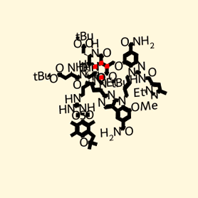 CCn1nc(C)cc1C(=O)Nc1nc2cc(C(N)=O)cc(OCCCNC(=O)[C@H](CC(=O)OC(C)(C)C)NC(=O)[C@H](CC(=O)OC(C)(C)C)NC(=O)[C@H](CCCNC(=N)NS(=O)(=O)c3c(C)c(C)c4c(c3C)CC(C)(C)O4)NC(=O)[C@@H](N)CC(=O)OC(C)(C)C)c2n1C/C=C/Cn1c2nc(-c3cc(C)nn3CC)ncc2c2cc(C(N)=O)cc(OC)c21